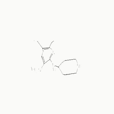 Cc1nc(NC2CCNCC2)c(N)cc1Cl